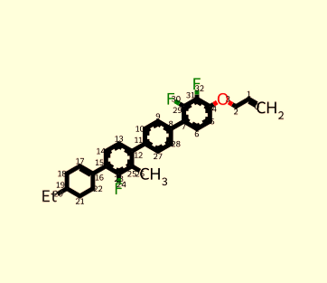 C=CCOc1ccc(-c2ccc(-c3ccc(C4=CCC(CC)CC4)c(F)c3C)cc2)c(F)c1F